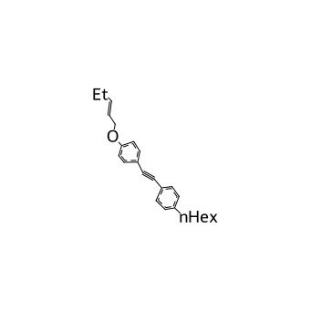 CCC=CCOc1ccc(C#Cc2ccc(CCCCCC)cc2)cc1